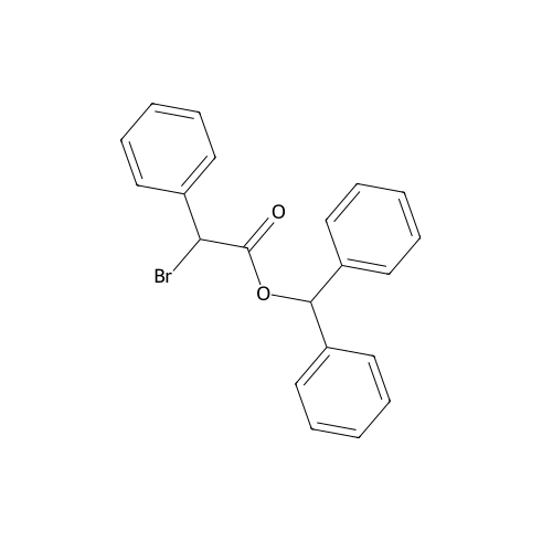 O=C(OC(c1ccccc1)c1ccccc1)C(Br)c1ccccc1